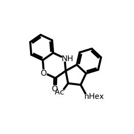 CCCCCCC1c2ccccc2C2(Nc3ccccc3OC2=O)C1C(C)=O